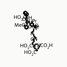 COc1cccc(OC)c1-c1cc(C(=O)NC2(C(=O)O)C3CC4CC(C3)CC2C4)nn1-c1ccc(C(=O)N(C)CCCN(C)CCCN(C)C(=O)CCC(C(=O)O)N2CCN(CC(=O)O)CCN(CC(=O)O)CC2)cc1C(C)C